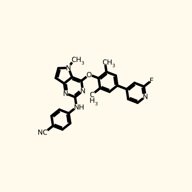 Cc1cc(-c2ccnc(F)c2)cc(C)c1Oc1nc(Nc2ccc(C#N)cc2)nc2ccn(C)c12